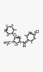 Cc1sc(Nc2ccc(Cl)nc2)nc1-c1cccnc1